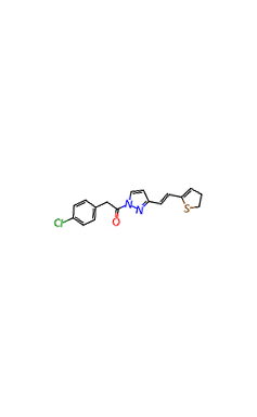 O=C(Cc1ccc(Cl)cc1)n1ccc(/C=C/C2=CCCS2)n1